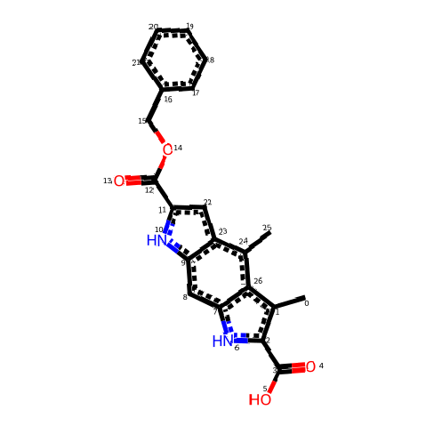 Cc1c(C(=O)O)[nH]c2cc3[nH]c(C(=O)OCc4ccccc4)cc3c(C)c12